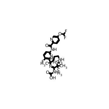 CC1(C)C(NC(=O)O)=N[C@](C)(c2nc(NC(=O)c3ccc(OC(F)F)cn3)ccc2F)[C@@H]2CCN[SH]21=O